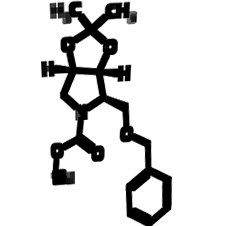 CC(C)(C)OC(=O)N1C[C@@H]2OC(C)(C)O[C@@H]2[C@H]1COCc1ccccc1